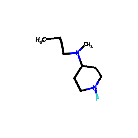 CCCN(C)C1CCN(F)CC1